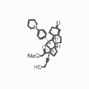 COCC(=O)[C@@]1(C#CCO)CC[C@H]2[C@@H]3CCC4=CC(=O)CCC4=C3[C@@H](c3ccc(N4CCCCC4)cc3)C[C@@]21C